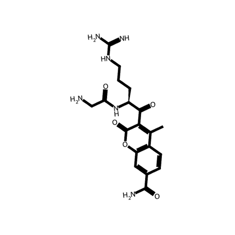 Cc1c(C(=O)[C@H](CCCNC(=N)N)NC(=O)CN)c(=O)oc2cc(C(N)=O)ccc12